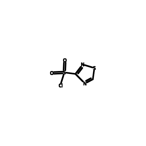 O=S(=O)(Cl)c1ncsn1